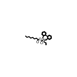 C=CC[N+]1(C(Cl)OC(=O)CCCCCCC)Cc2ccccc2-c2ccccc2C1